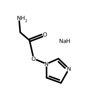 NCC(=O)On1ccnc1.[NaH]